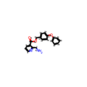 NCc1ncccc1C(=O)OCc1ccc(Oc2ccccc2)cc1